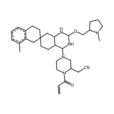 C=CC(=O)N1CCN(C2NC(OCC3CCCN3C)NC3CC4(CCc5cccc(C)c5C4)CCC32)CC1CC#N